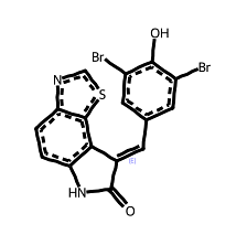 O=C1Nc2ccc3ncsc3c2/C1=C\c1cc(Br)c(O)c(Br)c1